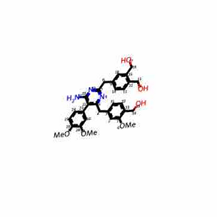 COc1cc(Cc2nc(Cc3ccc(CO)c(CO)c3)nc(N)c2-c2ccc(OC)c(OC)c2)ccc1CO